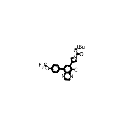 CC(C)(C)OC(=O)N1CC(c2cc(-c3ccc(OC(F)(F)F)cc3)c3nccnc3c2Cl)C1